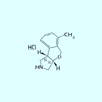 Cc1cccc2c1CO[C@@H]1CNC[C@H]21.Cl